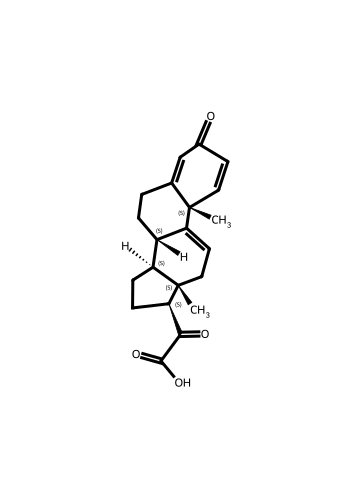 C[C@]12C=CC(=O)C=C1CC[C@@H]1C2=CC[C@]2(C)[C@@H](C(=O)C(=O)O)CC[C@@H]12